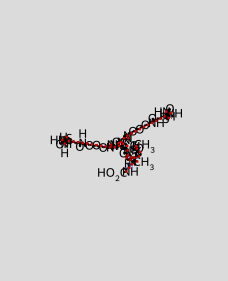 Cc1c(-c2cccc(S(=O)(=O)N(C)C)c2)c2cc(C(=O)Nc3ccc4c(c3)n(Cc3cn(CCOCCOCCOCCNC(=O)CCCC[C@H]5SC[C@H]6NC(=O)N[C@H]65)nn3)c(=O)n4Cc3cn(CCOCCOCCOCCNC(=O)CCCC[C@@H]4SC[C@@H]5NC(=O)N[C@@H]54)nn3)ccc2n1C/C(F)=C/CNC(=O)O